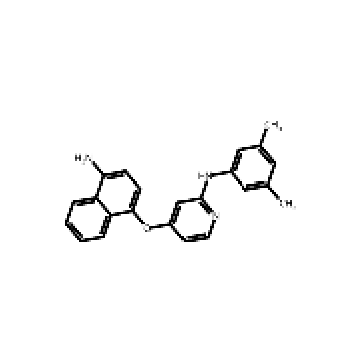 Cc1cc(C)cc(Nc2cc(Oc3ccc(N)c4ccccc34)ccn2)c1